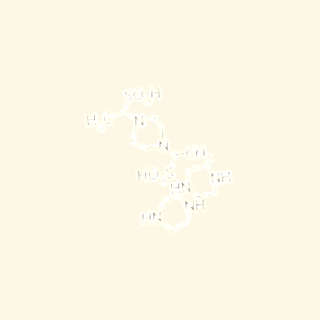 C1CNCCN1.C1CNCCN1.CC(N1CCN(C(C)S(=O)(=O)O)CC1)S(=O)(=O)O